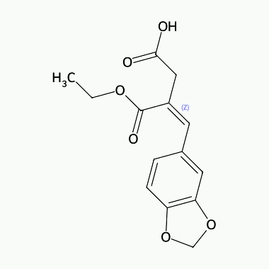 CCOC(=O)/C(=C\c1ccc2c(c1)OCO2)CC(=O)O